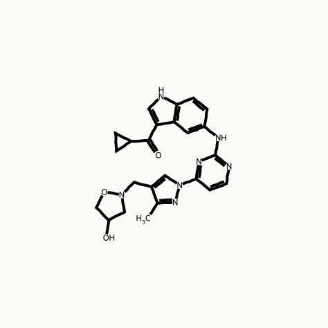 Cc1nn(-c2ccnc(Nc3ccc4[nH]cc(C(=O)C5CC5)c4c3)n2)cc1CN1CC(O)CO1